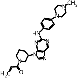 C=CC(=O)N1CCCC(n2cnc3cnc(Nc4ccc(N5CCN(C)CC5)cc4)nc32)C1